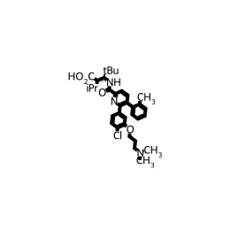 Cc1ccccc1-c1ccc(C(=O)N[C@@H](C(C(=O)O)C(C)C)C(C)(C)C)nc1-c1ccc(Cl)c(OCCCN(C)C)c1